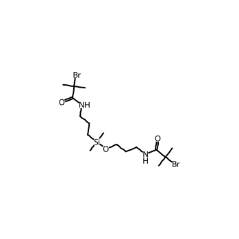 CC(C)(Br)C(=O)NCCCO[Si](C)(C)CCCNC(=O)C(C)(C)Br